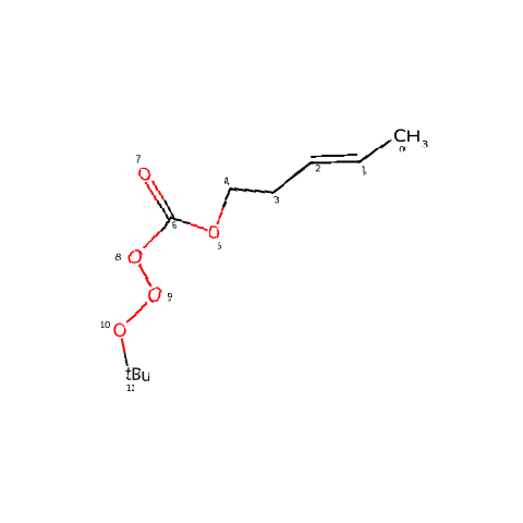 CC=CCCOC(=O)OOOC(C)(C)C